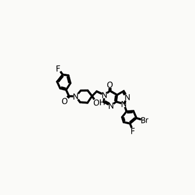 O=C(c1ccc(F)cc1)N1CCC(O)(Cn2cnc3c(cnn3-c3ccc(F)c(Br)c3)c2=O)CC1